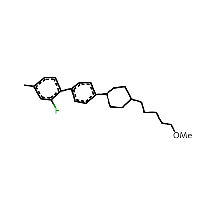 COCCCCCC1CCC(c2ccc(-c3ccc(C)cc3F)cc2)CC1